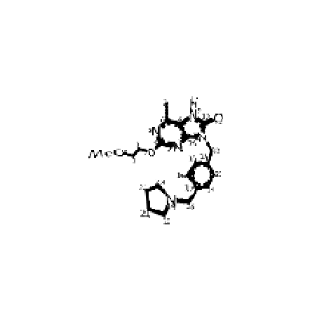 COCCOc1nc(C)c2[nH]c(=O)n(Cc3ccc(CN4CCCC4)cc3)c2n1